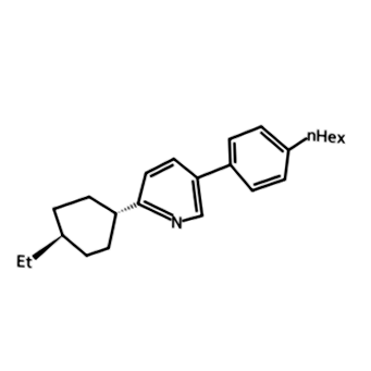 CCCCCCc1ccc(-c2ccc([C@H]3CC[C@H](CC)CC3)nc2)cc1